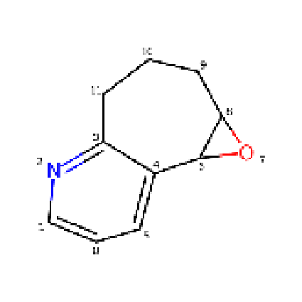 c1cnc2c(c1)C1OC1CCC2